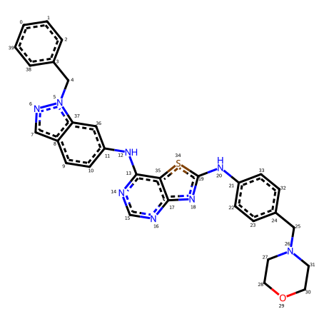 c1ccc(Cn2ncc3ccc(Nc4ncnc5nc(Nc6ccc(CN7CCOCC7)cc6)sc45)cc32)cc1